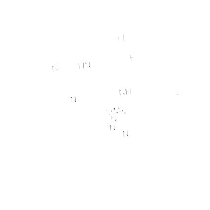 COc1cc2ncc(C#N)c(Nc3ccc(F)c(Cl)c3)c2cc1NC(c1ccc(F)cc1)c1cn(C)nn1